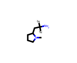 [2H]C([2H])(N)CC1CCCN1C